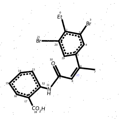 CCc1c(Br)cc(/C(C)=C\C(=O)Nc2ccccc2C(=O)O)cc1Br